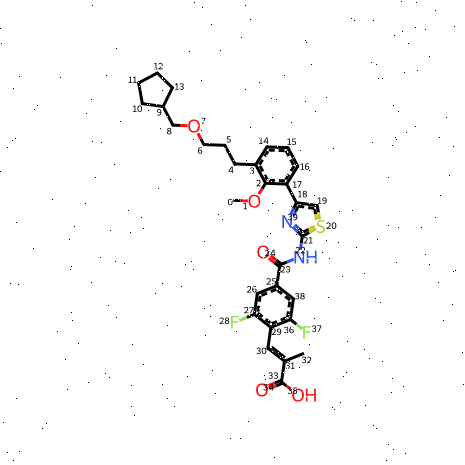 COc1c(CCCOCC2CCCC2)cccc1-c1csc(NC(=O)c2cc(F)c(C=C(C)C(=O)O)c(F)c2)n1